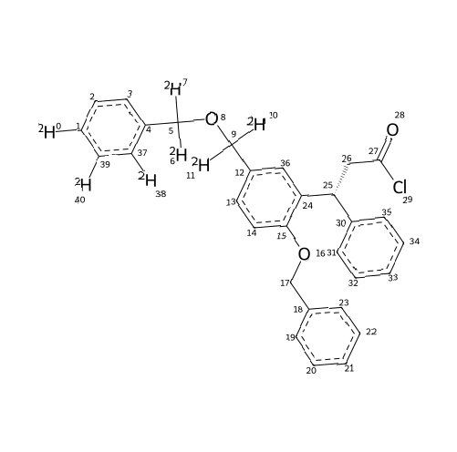 [2H]c1ccc(C([2H])([2H])OC([2H])([2H])c2ccc(OCc3ccccc3)c([C@H](CC(=O)Cl)c3ccccc3)c2)c([2H])c1[2H]